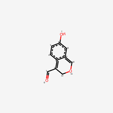 O=CC1=c2ccc(O)cc2=COC1